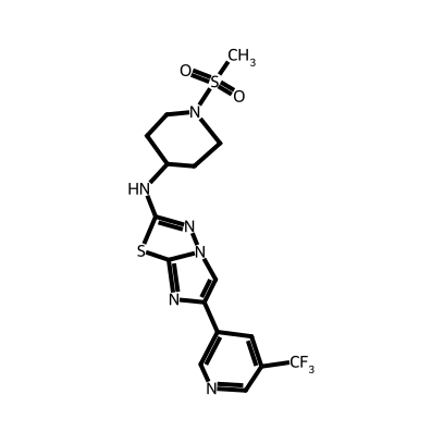 CS(=O)(=O)N1CCC(Nc2nn3cc(-c4cncc(C(F)(F)F)c4)nc3s2)CC1